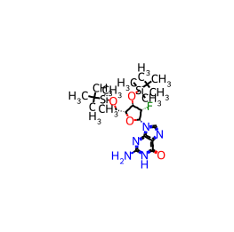 CC(C)(C)[Si](C)(C)OC[C@H]1O[C@@H](n2cnc3c(=O)[nH]c(N)nc32)[C@@H](F)[C@@H]1O[Si](C)(C)C(C)(C)C